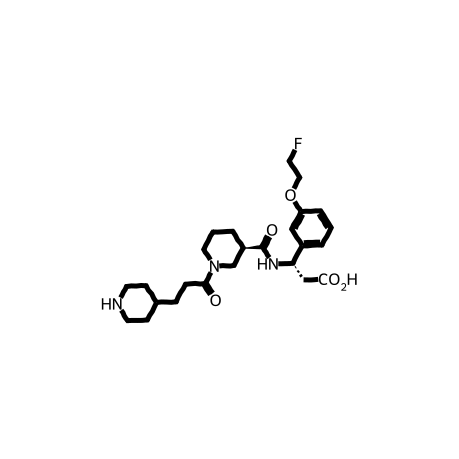 O=C(O)C[C@H](NC(=O)[C@@H]1CCCN(C(=O)CCC2CCNCC2)C1)c1cccc(OCCF)c1